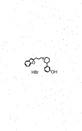 Br.Oc1cccc(C2CCCN(CCCc3cc4ccccc4o3)C2)c1